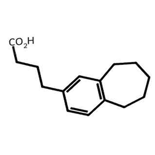 O=C(O)CCCc1ccc2c(c1)CCCCC2